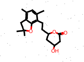 Cc1cc(C)c2c(c1CCC1CC(O)CC(=O)O1)OC(C)(C)C2